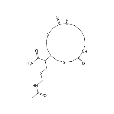 CC(=O)NCSCC(C(N)=O)C1CCSCC(=O)NCCCCNC(=O)CSC1